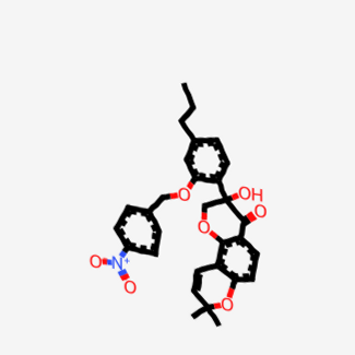 CCCc1ccc(C2(O)COc3c(ccc4c3C=CC(C)(C)O4)C2=O)c(OCc2ccc([N+](=O)[O-])cc2)c1